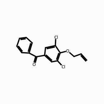 C=CCOc1c(Cl)cc(C(=O)c2ccccc2)cc1Cl